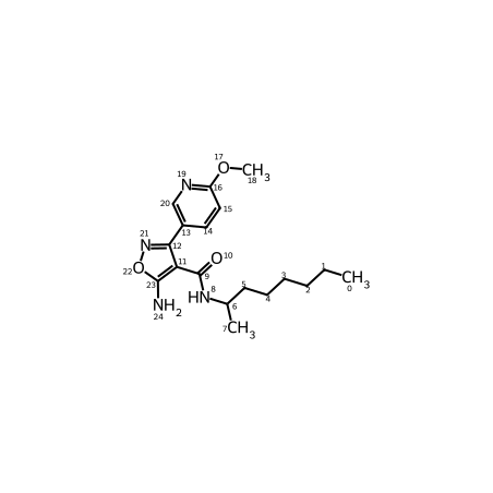 CCCCCCC(C)NC(=O)c1c(-c2ccc(OC)nc2)noc1N